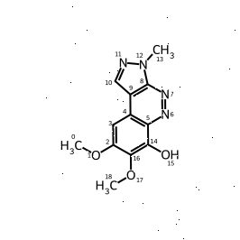 COc1cc2c(nnc3c2cnn3C)c(O)c1OC